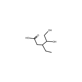 CCC(CC(=O)O)C(O)CO